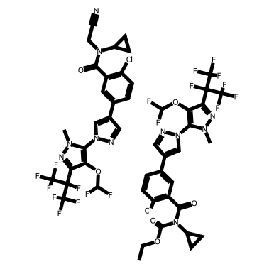 CCOC(=O)N(C(=O)c1cc(-c2cnn(-c3c(OC(F)F)c(C(F)(C(F)(F)F)C(F)(F)F)nn3C)c2)ccc1Cl)C1CC1.Cn1nc(C(F)(C(F)(F)F)C(F)(F)F)c(OC(F)F)c1-n1cc(-c2ccc(Cl)c(C(=O)N(CC#N)C3CC3)c2)cn1